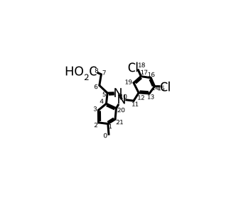 Cc1ccc2c(CCC(=O)O)nn(Cc3cc(Cl)cc(Cl)c3)c2c1